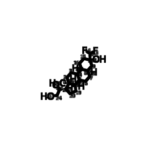 C[C@]12CC[C@H]3[C@@H](CC[C@@H]4C[C@@](O)(C(F)F)CC[C@@H]43)[C@@H]1CC[C@@H]2C(=O)CO